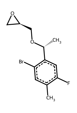 Cc1cc(Br)c([C@@H](C)OC[C@H]2CO2)cc1F